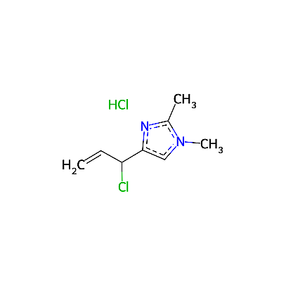 C=CC(Cl)c1cn(C)c(C)n1.Cl